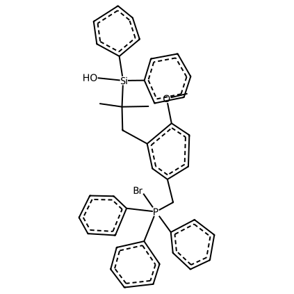 COc1ccc(CP(Br)(c2ccccc2)(c2ccccc2)c2ccccc2)cc1CC(C)(C)[Si](O)(c1ccccc1)c1ccccc1